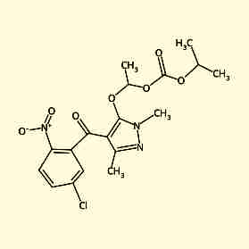 Cc1nn(C)c(OC(C)OC(=O)OC(C)C)c1C(=O)c1cc(Cl)ccc1[N+](=O)[O-]